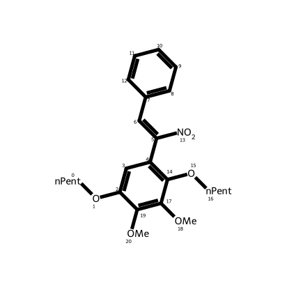 CCCCCOc1cc(C(=Cc2ccccc2)[N+](=O)[O-])c(OCCCCC)c(OC)c1OC